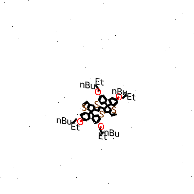 CCCCC(CC)COc1ccc(C2(c3ccc(OCC(CC)CCCC)cc3)c3sccc3-c3sc4c5c(sc4c32)-c2ccsc2C5(c2ccc(OCC(CC)CCCC)cc2)c2ccc(OCC(CC)CCCC)cc2)cc1